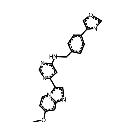 COc1ccn2c(-c3cc(NCc4ccc(-c5cocn5)cc4)ncn3)cnc2c1